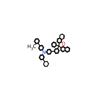 Cc1ccccc1-c1ccc(N(c2ccc(-c3cccc(C4(c5ccccc5)c5ccc6c(c5Oc5c4ccc4ccccc54)C=CCC6)c3)cc2)c2cccc(C3CCCCC3)c2)cc1